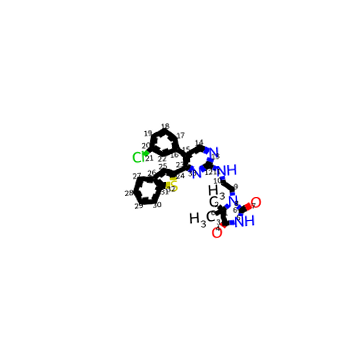 CC1(C)C(=O)NC(=O)N1CCNc1ncc(-c2cccc(Cl)c2)c(-c2cc3ccccc3s2)n1